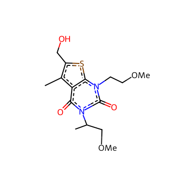 COCCn1c(=O)n(C(C)COC)c(=O)c2c(C)c(CO)sc21